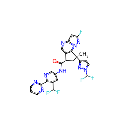 C[C@]1(c2ccn(C(F)F)n2)C[C@@H](C(=O)Nc2cnc(-c3ncccn3)c(C(F)F)c2)c2cnc3cc(F)nn3c21